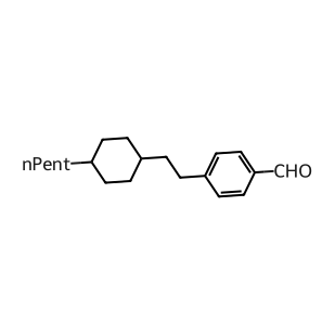 CCCCCC1CCC(CCc2ccc(C=O)cc2)CC1